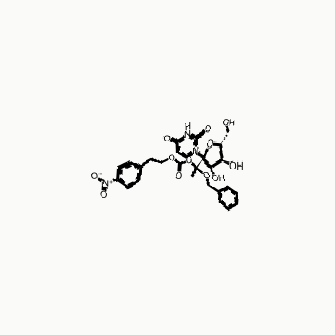 CC(OCc1ccccc1)(OC(=O)OCCc1ccc([N+](=O)[O-])cc1)[C@@]1(n2ccc(=O)[nH]c2=O)O[C@H](CO)[C@@H](O)[C@H]1O